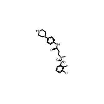 Cc1c(Cl)cccc1S(=O)(=O)N(C)CCC(=O)Nc1ccc(N2CCNCC2)cc1